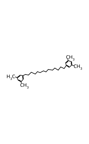 Cc1cc(C)cc(CCCCCCCCCCCCCCc2cc(C)cc(C)c2)c1